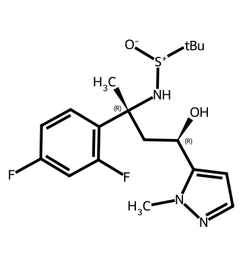 Cn1nccc1[C@H](O)C[C@@](C)(N[S+]([O-])C(C)(C)C)c1ccc(F)cc1F